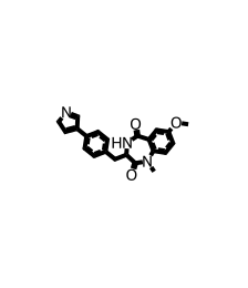 COc1ccc2c(c1)C(=O)NC(Cc1ccc(C3=CCN=C3)cc1)C(=O)N2C